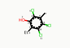 CCc1c(O)c(Cl)c(C)c(Cl)c1Cl